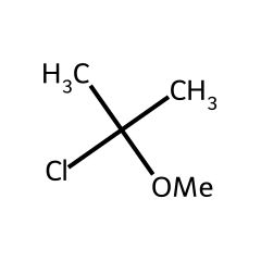 COC(C)(C)Cl